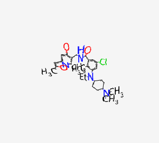 CCN(c1cc(Cl)cc(C(=O)NCc2c(C)n3oc(C)cc3cc2=O)c1C)[C@H]1CC[C@H](N(C)C)CC1